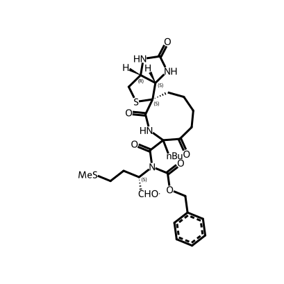 CCCCC1(C(=O)N(C(=O)OCc2ccccc2)[C@H]([C]=O)CCSC)NC(=O)[C@@]2(CCCCC1=O)SC[C@@H]1NC(=O)N[C@@H]12